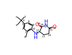 Cc1cc(C(C)(C)C)ccc1NC1CCC(=O)NC1=O